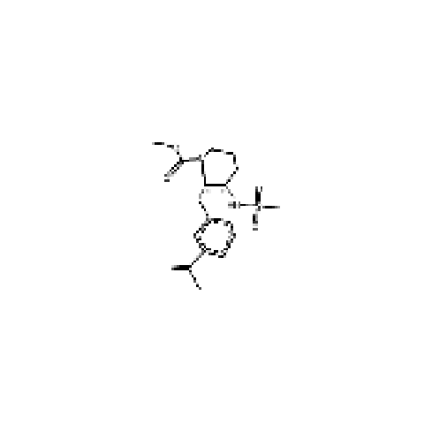 C=C(C)c1cccc(C[C@H]2[C@@H](NS(C)(=O)=O)CCCN2C(=O)OC)c1